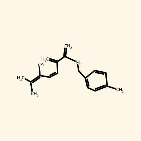 C=C(/C=C\C(CCC)=C(C)C)C(=C)NCc1ccc(C)cc1